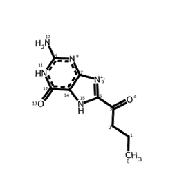 CCCC(=O)C1=[N+]c2nc(N)[nH]c(=O)c2N1